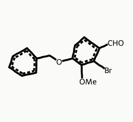 COc1c(OCc2ccccc2)ccc(C=O)c1Br